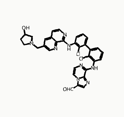 O=Cc1cnc2c(Nc3cccc(-c4cccc(Nc5nccc6cc(CN7CCC(O)C7)cnc56)c4Cl)c3Cl)nccn12